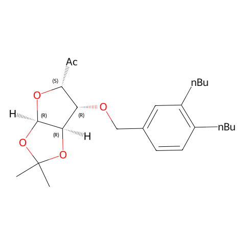 CCCCc1ccc(CO[C@@H]2[C@H]3OC(C)(C)O[C@H]3O[C@@H]2C(C)=O)cc1CCCC